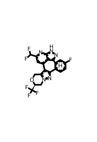 Cc1n[nH]c2nc(C(F)F)cc(-c3c(-c4ccc(F)cc4)nn4c3CO[C@H](C(F)(F)F)C4)c12